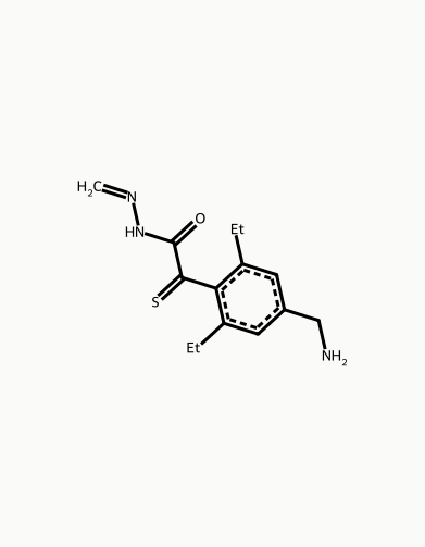 C=NNC(=O)C(=S)c1c(CC)cc(CN)cc1CC